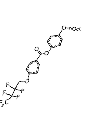 CCCCCCCCOc1ccc(OC(=O)c2ccc(OCC(F)(F)C(F)(F)C(F)(F)F)cc2)cc1